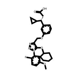 COc1ccc(F)c(-n2nnc(COc3cccc([C@@H](CC(=O)O)C4CC4)c3)c2OC2CCCCC2)c1